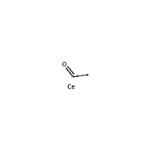 C[C]=O.[Ce]